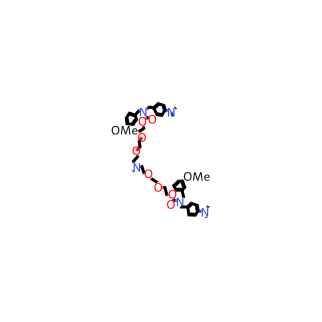 COc1cccc(CN(Cc2ccc(N(C)C)cc2)C(=O)OCCOCCOCCN(C)CCOCCOCCOC(=O)N(Cc2ccc(N(C)C)cc2)Cc2cccc(OC)c2)c1